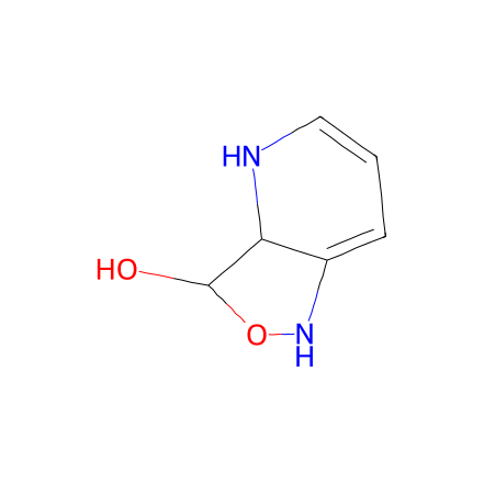 OC1ONC2=CC=CNC21